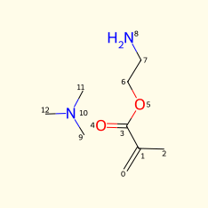 C=C(C)C(=O)OCCN.CN(C)C